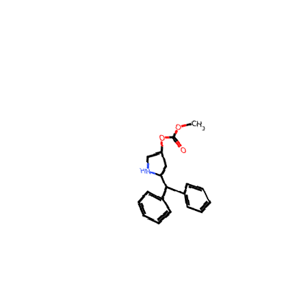 COC(=O)OC1CNC(C(c2ccccc2)c2ccccc2)C1